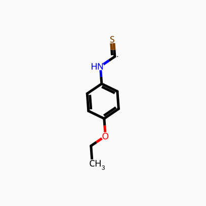 CCOc1ccc(N[C]=S)cc1